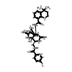 CC1(C)CCOc2c(C(=O)N[C@H]3CN4C(=N)N[C@@H](CNC(=O)c5ccc(F)cn5)[C@@H]5NC(=N)N[C@@]54C3(O)O)cccc21